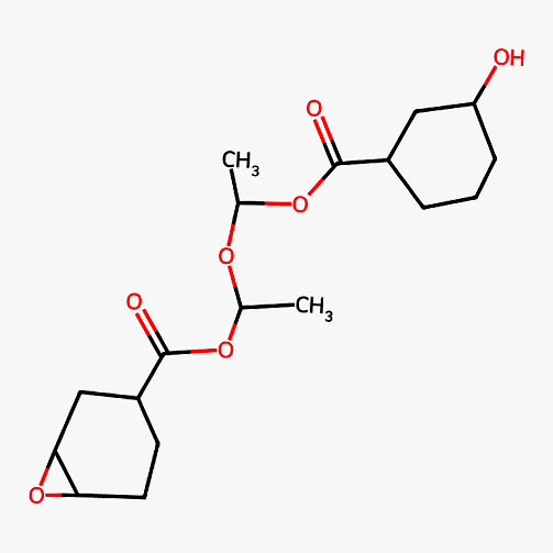 CC(OC(=O)C1CCCC(O)C1)OC(C)OC(=O)C1CCC2OC2C1